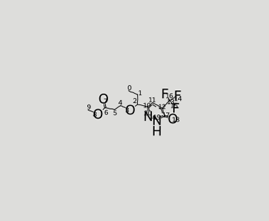 CCC(OCCC(=O)OC)c1cc(C(F)(F)F)c(=O)[nH]n1